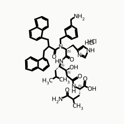 CC(C)C[C@H](NC(=O)[C@H](Cc1c[nH]cn1)N(Cc1cccc(CN)c1)C(=O)C(Cc1cccc2ccccc12)Cc1cccc2ccccc12)[C@@H](O)CC(=O)N[C@@H](CC(C)C(N)=O)C(=O)O.Cl.Cl